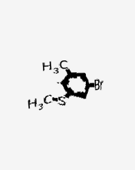 CSc1[c]c(C)cc(Br)c1